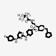 CC(C)(C)OC(=O)NCCN(C1CCN(Cc2ccccc2)CC1)S(=O)(=O)c1ccc(Nc2nccc(Nc3ccc(F)cc3)n2)cc1